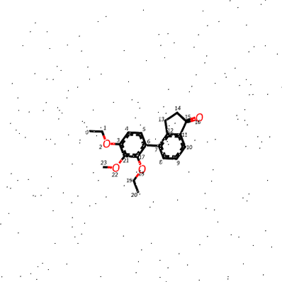 CCOc1ccc(-c2cccc3c2CCC3=O)c(OCC)c1OC